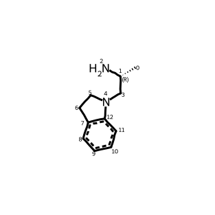 C[C@@H](N)CN1CCc2ccccc21